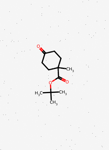 CC(C)(C)OC(=O)C1(C)CCC(=O)CC1